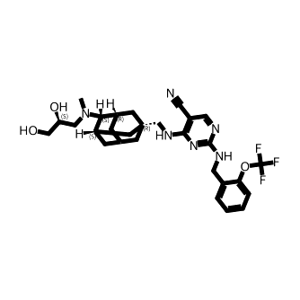 CN(C[C@H](O)CO)[C@@H]1[C@@H]2CC3C[C@H]1C[C@](CNc1nc(NCc4ccccc4OC(F)(F)F)ncc1C#N)(C3)C2